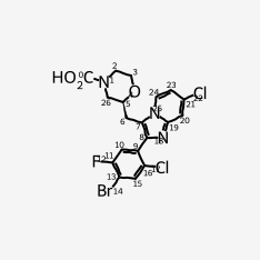 O=C(O)N1CCO[C@@H](Cc2c(-c3cc(F)c(Br)cc3Cl)nc3cc(Cl)ccn23)C1